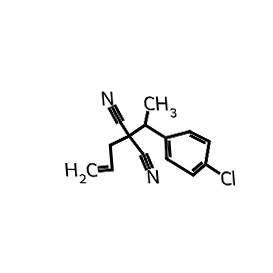 C=CCC(C#N)(C#N)C(C)c1ccc(Cl)cc1